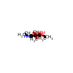 COc1cc(-c2ccc(NCC=C(C)C)cc2)c(OC)c(O)c1-c1ccc(OCC=C(C)C)c(O)c1